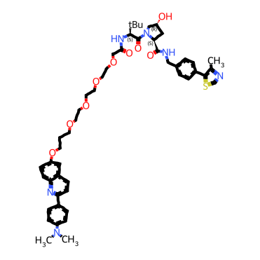 Cc1ncsc1-c1ccc(CNC(=O)[C@@H]2C[C@@H](O)CN2C(=O)[C@@H](NC(=O)COCCOCCOCCOCCCOc2ccc3nc(-c4ccc(N(C)C)cc4)ccc3c2)C(C)(C)C)cc1